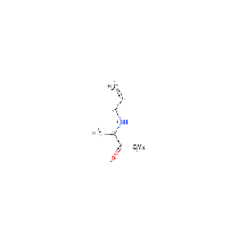 C=CCNC(C)C(=O)OC